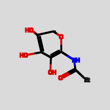 CCC(=O)NC1=C(O)C(O)=C(O)[CH]O1